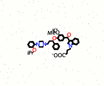 COc1cc(C(=O)c2cn(CCCC(=O)[O-])c3ccccc23)ccc1OC(CCN1CCN(c2ccccc2OC(C)C)CC1)c1ccccc1.[K+]